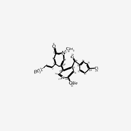 CCOC(=O)/C=C/c1cc(=O)n(C)cc1-c1cnc(OC)cc1C(=O)c1ccc(Cl)cc1